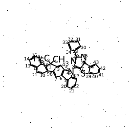 CC1(C)c2cc3c(cc2-c2ccc4ccccc4c21)c1ccccc1n3-c1nc(-c2ccccc2)nc2c1sc1ccccc12